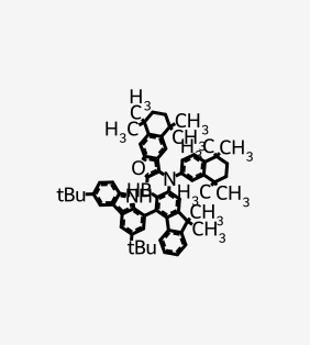 CC(C)(C)c1ccc2[nH]c3c(-c4c5c(cc6c4-c4ccccc4C6(C)C)N(c4ccc6c(c4)C(C)(C)CCC6(C)C)c4c(oc6cc7c(cc46)C(C)(C)CCC7(C)C)B5)cc(C(C)(C)C)cc3c2c1